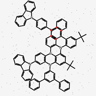 CC(C)(C)c1ccc(N2c3cc(N(c4ccccc4)c4ccc(-n5c6ccccc6c6ccccc65)cc4)ccc3B3c4ccc(-n5c6ccccc6c6ccccc65)cc4N(c4cc(-c5ccccc5)cc(-c5ccccc5)c4)c4cc(C(C)(C)C)cc2c43)c(-c2ccccc2)c1